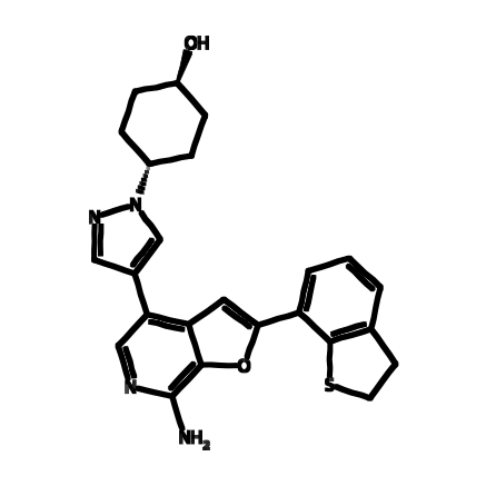 Nc1ncc(-c2cnn([C@H]3CC[C@H](O)CC3)c2)c2cc(-c3cccc4c3SCC4)oc12